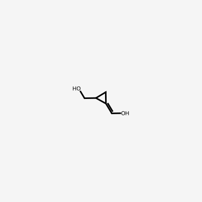 O/C=C1\CC1CO